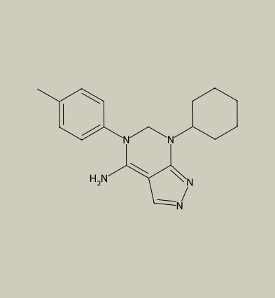 Cc1ccc(N2CN(C3CCCCC3)C3=NN=CC3=C2N)cc1